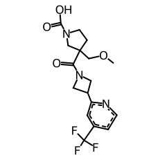 COCC1(C(=O)N2CC(c3cc(C(F)(F)F)ccn3)C2)CCN(C(=O)O)C1